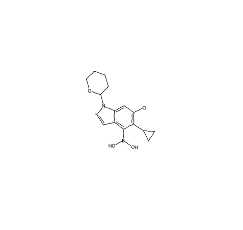 OB(O)c1c(C2CC2)c(Cl)cc2c1cnn2C1CCCCO1